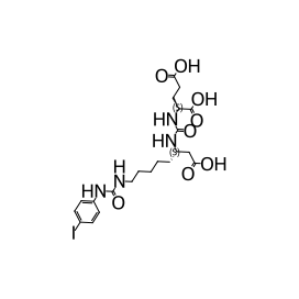 O=C(O)CC[C@H](NC(=O)N[C@@H](CCCCCNC(=O)Nc1ccc(I)cc1)CC(=O)O)C(=O)O